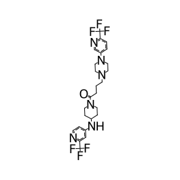 O=C(CCCN1CCN(c2ccc(C(F)(F)F)nc2)CC1)N1CCC(Nc2ccnc(C(F)(F)F)c2)CC1